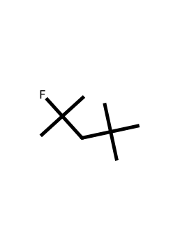 CC(C)(C)CC(C)(C)F